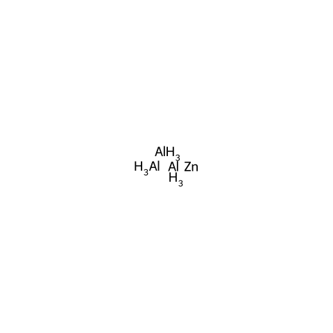 [AlH3].[AlH3].[AlH3].[Zn]